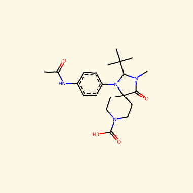 CC(=O)Nc1ccc(N2C(C(C)(C)C)N(C)C(=O)C23CCN(C(=O)O)CC3)cc1